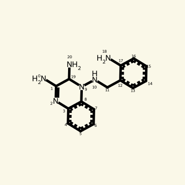 NC1=Nc2ccccc2N(NCc2ccccc2N)C1N